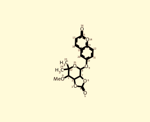 COC1C2OC(=O)OC2C(Oc2ccc3oc(=O)ccc3c2)OC1(C)C